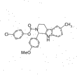 COc1ccc(C2c3[nH]c4ccc(C)cc4c3CCN2C(=O)Oc2ccc(Cl)cc2)cc1